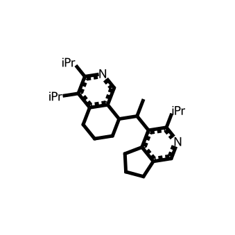 CC(C)c1ncc2c(c1C(C)C)CCCC2C(C)c1c(C(C)C)ncc2c1CCC2